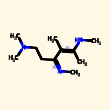 C/N=C(CCN(C)C)\C(C)=C(/C)NC